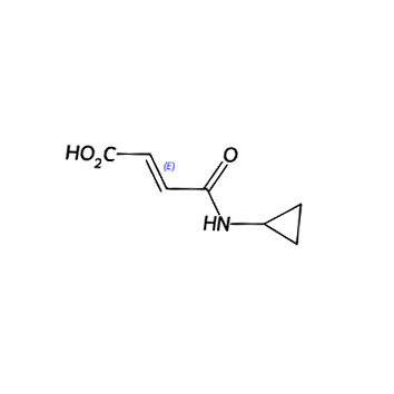 O=C(O)/C=C/C(=O)NC1CC1